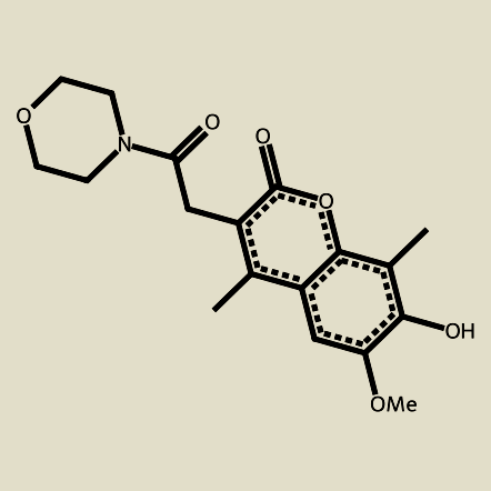 COc1cc2c(C)c(CC(=O)N3CCOCC3)c(=O)oc2c(C)c1O